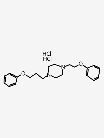 Cl.Cl.c1ccc(OCCCN2CCN(CCOc3ccccc3)CC2)cc1